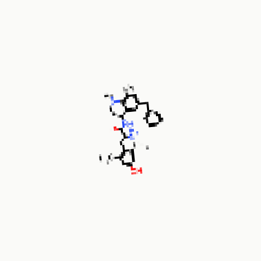 CCCc1cc(Cc2ccccc2)cc2c1N(C(C)=O)CCC2NC(=O)C(N)Cc1c(C)cc(O)cc1C